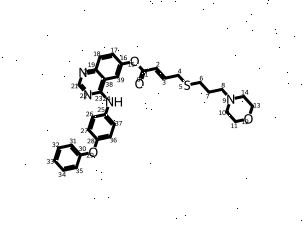 O=C(C=CCSCCCN1CCOCC1)Oc1ccc2ncnc(Nc3ccc(Oc4ccccc4)cc3)c2c1